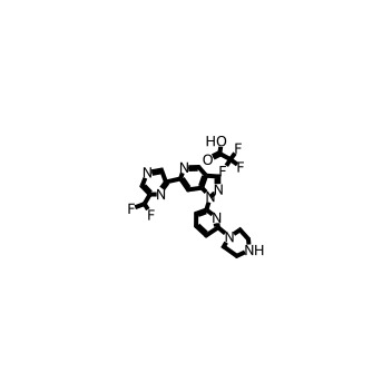 FC(F)c1cncc(-c2cc3c(cn2)cnn3-c2cccc(N3CCNCC3)n2)n1.O=C(O)C(F)(F)F